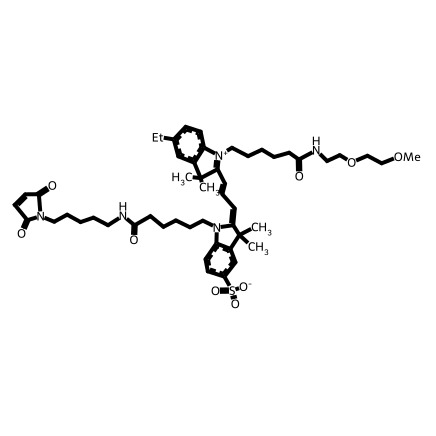 CCc1ccc2c(c1)C(C)(C)C(C=CC=C1N(CCCCCC(=O)NCCCCCN3C(=O)C=CC3=O)c3ccc(S(=O)(=O)[O-])cc3C1(C)C)=[N+]2CCCCCC(=O)NCCOCCOC